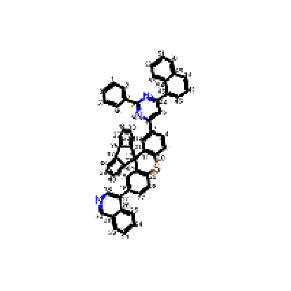 c1ccc(-c2nc(-c3ccc4c(c3)C3(c5cc(-c6cncc7ccccc67)ccc5S4)c4ccccc4-c4ccccc43)cc(-c3cccc4ccccc34)n2)cc1